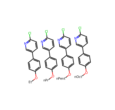 CCCCCCCCOc1ccc(-c2ccc(Cl)nc2)cc1.CCCCCOc1ccc(-c2ccc(Cl)nc2)cc1.CCCOc1ccc(-c2ccc(Cl)nc2)cc1.CCOc1ccc(-c2ccc(Cl)nc2)cc1